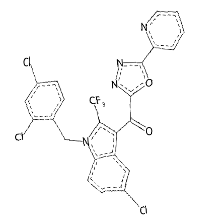 O=C(c1nnc(-c2ccccn2)o1)c1c(C(F)(F)F)n(Cc2ccc(Cl)cc2Cl)c2ccc(Cl)cc12